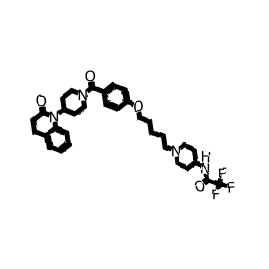 O=C(c1ccc(OCCCCCN2CCC(NC(=O)C(F)(F)F)CC2)cc1)N1CCC(N2C(=O)CCc3ccccc32)CC1